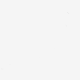 COC(=O)CCCCC(=O)OCc1ccc(CN2CCCN3CCCC32)cc1